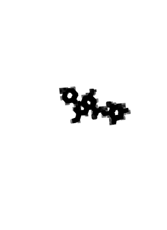 CC/C(C)=C/c1c(NC2CCNCC2)cc(Br)cc1C(=O)NCc1c(C)cc(C)[nH]c1=O